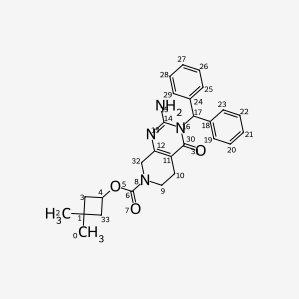 CC1(C)CC(OC(=O)N2CCc3c(nc(N)n(C(c4ccccc4)c4ccccc4)c3=O)C2)C1